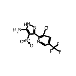 Nc1[nH]nc(-c2ncc(C(F)(F)F)cc2Cl)c1[N+](=O)[O-]